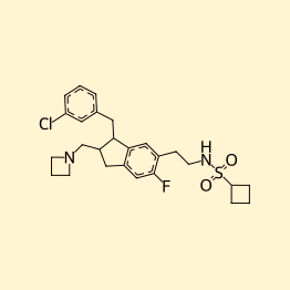 O=S(=O)(NCCc1cc2c(cc1F)CC(CN1CCC1)C2Cc1cccc(Cl)c1)C1CCC1